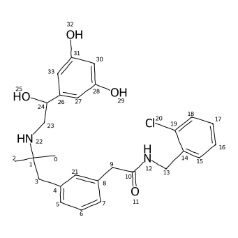 CC(C)(Cc1cccc(CC(=O)NCc2ccccc2Cl)c1)NCC(O)c1cc(O)cc(O)c1